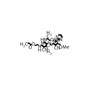 C=CC(=O)OCCNc1nc(NC(C)COC)c(N=Nc2nn(-c3ncccn3)c(COC)c2C#N)c(C)c1C#N